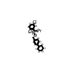 CC(C)/C(=N\OCc1ccc(C2CCCCC2)cc1)c1cc(Cl)ccc1C(F)(F)F